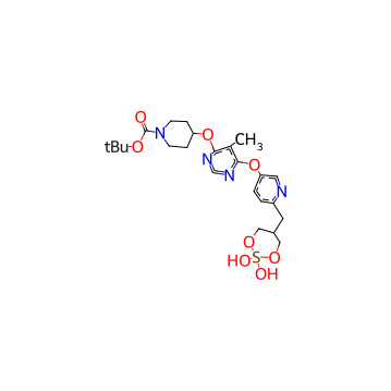 Cc1c(Oc2ccc(CC3COS(O)(O)OC3)nc2)ncnc1OC1CCN(C(=O)OC(C)(C)C)CC1